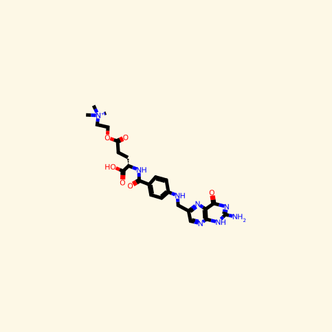 C[N+](C)(C)CCOC(=O)CC[C@H](NC(=O)c1ccc(NCc2cnc3[nH]c(N)nc(=O)c3n2)cc1)C(=O)O